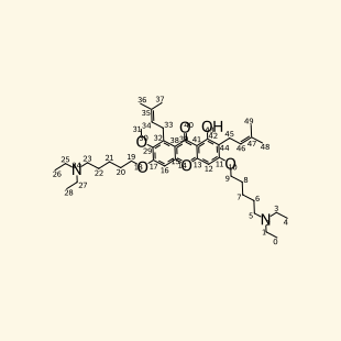 CCN(CC)CCCCCOc1cc2oc3cc(OCCCCCN(CC)CC)c(OC)c(CC=C(C)C)c3c(=O)c2c(O)c1CC=C(C)C